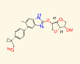 Cc1cc2[nH]c(O[C@@H]3CO[C@H]4[C@@H]3OC[C@H]4O)nc2cc1-c1ccc(C2(CO)CC2)cc1